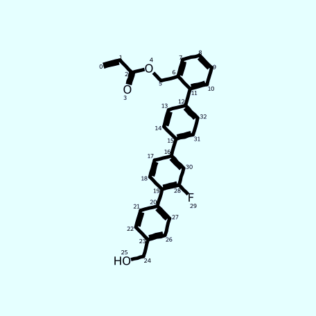 C=CC(=O)OCc1ccccc1-c1ccc(-c2ccc(-c3ccc(CO)cc3)c(F)c2)cc1